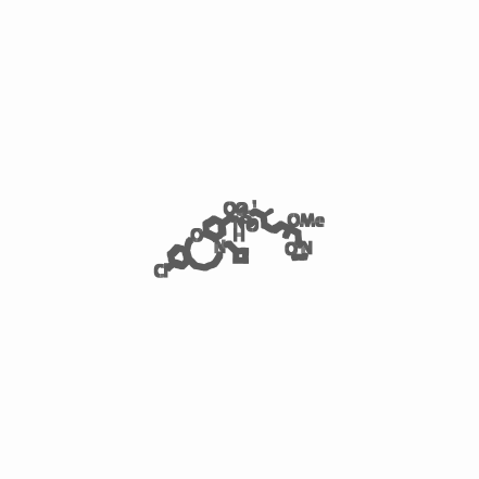 CO[C@](C)(/C=C/C[C@H](C)[C@@H](C)S(=O)(=O)NC(=O)c1ccc2c(c1)N(CC1CCC1)CCCCc1cc(Cl)ccc1CO2)CC1=NCCO1